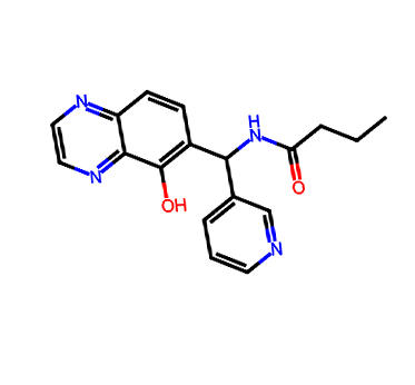 CCCC(=O)NC(c1cccnc1)c1ccc2nccnc2c1O